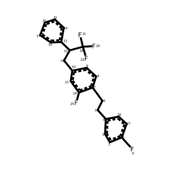 Fc1ccc(CCc2ccc(CC(c3ccccc3)C(F)(F)F)cc2F)cc1